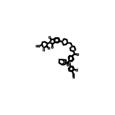 N#Cc1ccc(OC2CC3CCC(C2)N3C(=O)c2ccc(C(=O)N3CCN(CC4CCN(c5ccc6c(c5)C(=O)N(C5CCC(O)NC5=O)C6=O)CC4)CC3)cc2)cc1Cl